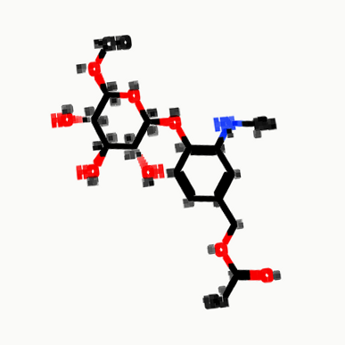 CC(C)(C)Nc1cc(COC(=O)C(C)(C)C)ccc1O[C@@H]1O[C@H](OC=O)[C@@H](O)[C@H](O)[C@H]1O